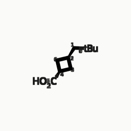 CC(C)(C)C[C@H]1C[C@@H](C(=O)O)C1